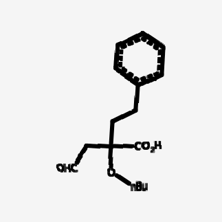 CCCCOC(CC=O)(CCc1ccccc1)C(=O)O